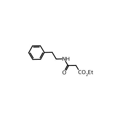 CCOC(=O)CC(=O)NCCc1ccccc1